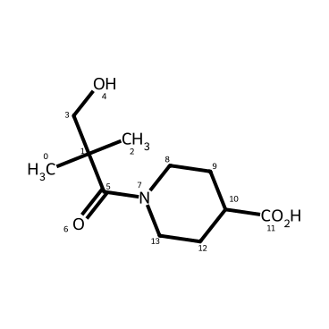 CC(C)(CO)C(=O)N1CCC(C(=O)O)CC1